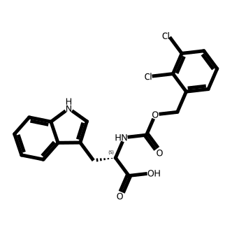 O=C(N[C@@H](Cc1c[nH]c2ccccc12)C(=O)O)OCc1cccc(Cl)c1Cl